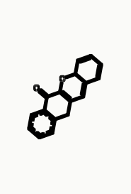 O=C1C2=C(C=C3C=CC=CC3O2)Cc2ccccc21